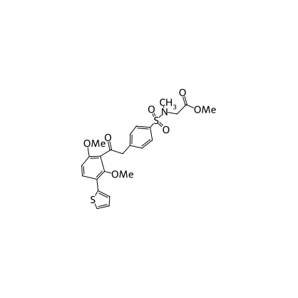 COC(=O)CN(C)S(=O)(=O)c1ccc(CC(=O)c2c(OC)ccc(-c3cccs3)c2OC)cc1